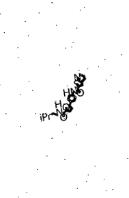 CC(C)CCNC(=O)c1ccc(-c2ccc(NC(=O)c3cc4cccnc4s3)cc2)o1